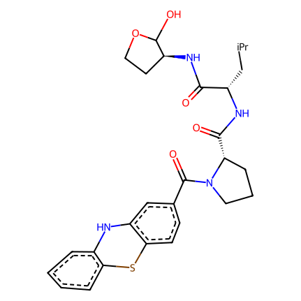 CC(C)C[C@H](NC(=O)[C@@H]1CCCN1C(=O)c1ccc2c(c1)Nc1ccccc1S2)C(=O)N[C@H]1CCOC1O